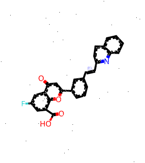 O=C(O)c1cc(F)cc2c(=O)cc(-c3cccc(/C=C/c4ccc5ccccc5n4)c3)oc12